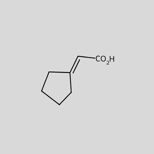 O=C(O)C=C1CCCC1